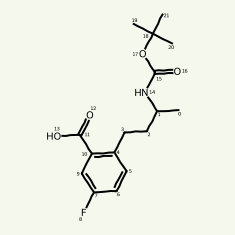 CC(CCc1ccc(F)cc1C(=O)O)NC(=O)OC(C)(C)C